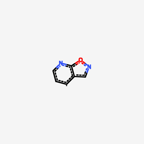 [c]1ccnc2oncc12